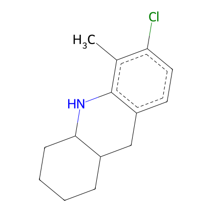 Cc1c(Cl)ccc2c1NC1CCCCC1C2